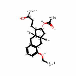 CCCCC[C@H](O)CC[C@@H]1[C@H]2Cc3cccc(OCC(=O)O)c3C[C@H]2C[C@H]1OC(=O)CCCC